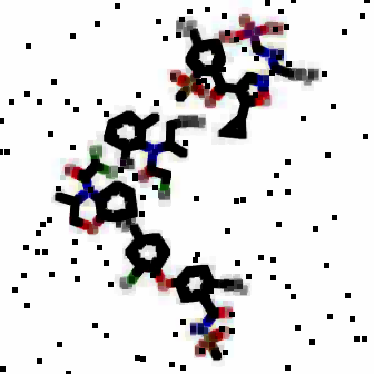 CC1COc2ccccc2N1C(=O)C(Cl)Cl.CCc1cccc(C)c1N(C(=O)CCl)C(C)COC.CS(=O)(=O)NC(=O)c1cc(Oc2ccc(C(F)(F)F)cc2Cl)ccc1[N+](=O)[O-].CS(=O)(=O)c1cc(C(F)(F)F)ccc1C(=O)c1cnoc1C1CC1.O=C(O)CNCP(=O)(O)O